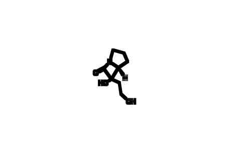 O=C1N2CCC[C@@H]2C1(O)CCO